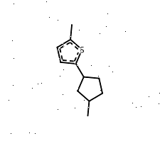 Cc1ccc(C2CCC(C)C2)s1